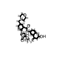 Cc1cc(O)nc2ccc(NC(=O)c3cc(CN4CCOCC4)cnc3N3CC(=O)N(C)C3)cc12